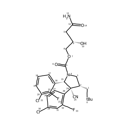 CC(C)(C)C[C@H]1CN(C(=O)OC[C@@H](O)CC(N)=O)[C@@H](c2cccc(Cl)c2F)[C@]1(C#N)c1ccc(Cl)cc1F